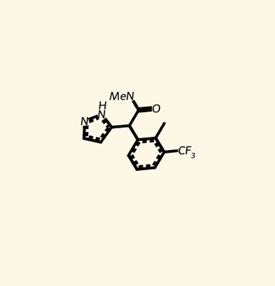 CNC(=O)C(c1ccn[nH]1)c1cccc(C(F)(F)F)c1C